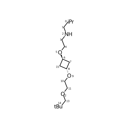 CC(C)CNCCO[C@H]1C[C@H](OCCOCC(C)(C)C)C1